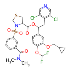 CN(C)C(=O)c1cccc(S(=O)(=O)N2CSCC2C(=O)OC(Cc2c(Cl)cncc2Cl)c2ccc(OC(F)F)c(OCC3CC3)c2)c1